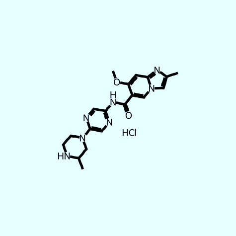 COc1cc2nc(C)cn2cc1C(=O)Nc1cnc(N2CCNC(C)C2)cn1.Cl